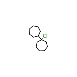 ClC1(C2CCCCCC2)CCCCCC1